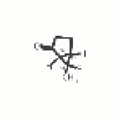 C[C@@]1(F)[C@@H]2C(=O)CC[C@@H]21